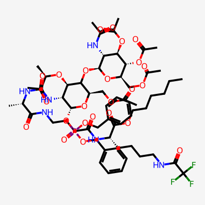 CCCCCCOC(=O)[C@H](CCCCNC(=O)C(F)(F)F)NC(=O)CCCNC(=O)[C@H](C)NC(=O)[C@@H](C)O[C@H]1C(O[C@@H]2O[C@H](COC(C)=O)[C@@H](OC(C)=O)[C@H](OC(C)=O)[C@H]2NC(C)=O)[C@@H](COC(C)=O)O[C@H](OP(=O)(OCc2ccccc2)OCc2ccccc2)[C@@H]1NC(C)=O